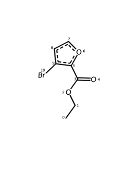 CCOC(=O)c1occc1Br